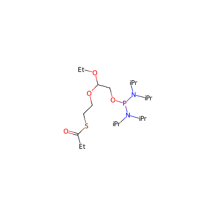 CCOC(COP(N(C(C)C)C(C)C)N(C(C)C)C(C)C)OCCSC(=O)CC